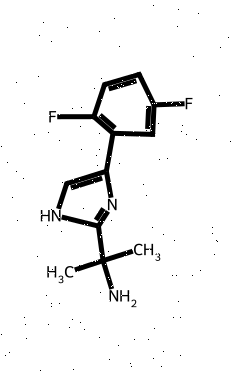 CC(C)(N)c1nc(-c2cc(F)ccc2F)c[nH]1